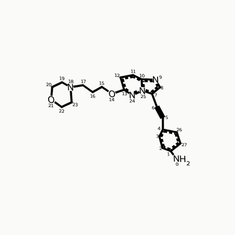 Nc1ccc(C#Cc2cnc3ccc(OCCCN4CCOCC4)nn23)cc1